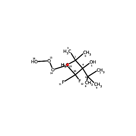 CC(C)(C)C(O)(C(C)(C)C)C(F)(F)SOOO